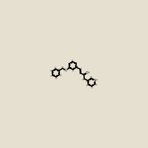 O=C(C=Cc1cccc(OCc2ccccc2)c1)Cc1cccnc1